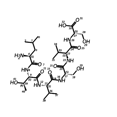 CC(C)C[C@H](N)C(=O)N[C@H](C(=O)N[C@H](C(=O)N[C@@H](CO)C(=O)N[C@H](C(=O)N[C@@H](CO)C(=O)O)C(C)C)C(C)C)[C@@H](C)O